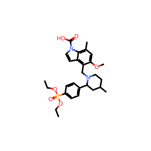 CCOP(=O)(OCC)c1ccc(C2CC(C)CCN2Cc2c(OC)cc(C)c3c2ccn3C(=O)O)cc1